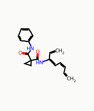 C=C/C=C\C=C(/C=C)NC(=O)C1(C(=O)Nc2ccccc2)CC1